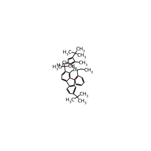 CC/[C](c1ccccc1)=[Zr](\[C]1=C(C)C(C(C)(C)C)=CC1C)[c]1c(C(C)(C)C)ccc2c1Cc1cc(C(C)(C)C)ccc1-2